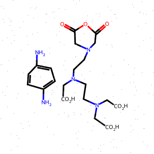 Nc1ccc(N)cc1.O=C(O)CN(CCN(CC(=O)O)CC(=O)O)CCN1CC(=O)OC(=O)C1